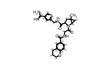 CC12CC(C(=O)NCc3cc(C(=N)N)cs3)N(C(=O)CNC(=O)c3ccc4c(c3)CCCO4)C1C2